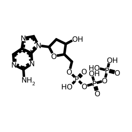 Nc1ncc2ncn(C3CC(O)C(COP(=O)(O)OP(=O)(O)OP(=O)(O)O)O3)c2n1